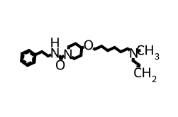 C=CCN(C)CCCCCCOC1CCN(C(=O)NCCc2ccccc2)CC1